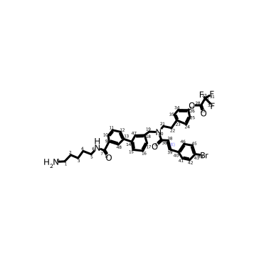 NCCCCCNC(=O)c1cccc(-c2cccc(CN(CCc3ccc(OC(=O)C(F)(F)F)cc3)C(=O)/C=C/c3ccc(Br)cc3)c2)c1